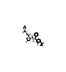 CC1(c2ccc([C@@H](NC(=O)[C@@H]3C[C@@H](F)CN3C(=O)COC(=O)N3CCC3)c3ccccc3)cc2F)CC1